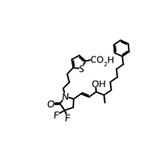 CC(CCCCCc1ccccc1)C(O)/C=C/C1CC(F)(F)C(=O)N1CCCc1ccc(C(=O)O)s1